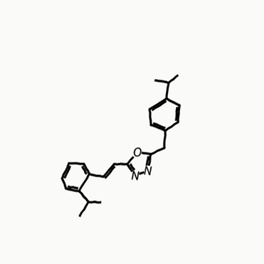 CC(C)c1ccc(Cc2nnc(/C=C/c3ccccc3C(C)C)o2)cc1